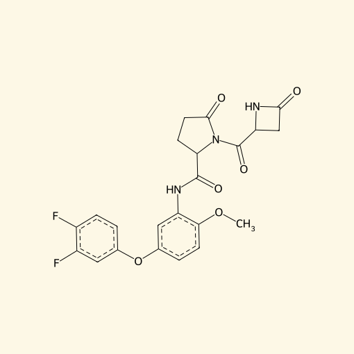 COc1ccc(Oc2ccc(F)c(F)c2)cc1NC(=O)C1CCC(=O)N1C(=O)C1CC(=O)N1